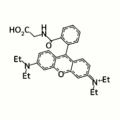 CCN(CC)c1ccc2c(-c3ccccc3C(=O)NCC(=O)O)c3ccc(=[N+](CC)CC)cc-3oc2c1